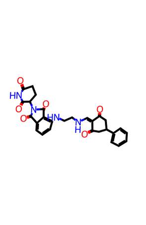 O=C1CCC(N2C(=O)c3cccc(NCCNC=C4C(=O)CC(c5ccccc5)CC4=O)c3C2=O)C(=O)N1